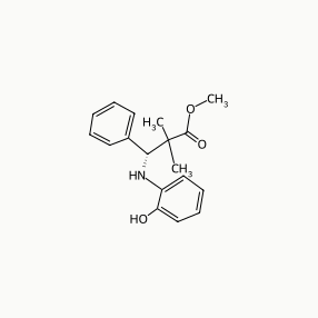 COC(=O)C(C)(C)[C@H](Nc1ccccc1O)c1ccccc1